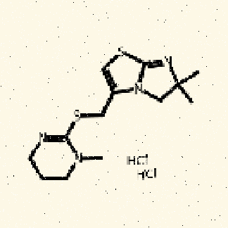 CN1CCCN=C1SCC1=CSC2=NC(C)(C)CN12.Cl.Cl